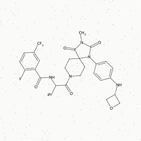 CC(C)C(NC(=O)c1cc(C(F)(F)F)ccc1F)C(=O)N1CCC2(CC1)C(=O)N(C)C(=O)N2c1ccc(NC2COC2)cc1